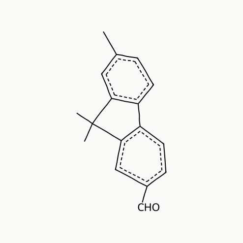 Cc1ccc2c(c1)C(C)(C)c1cc(C=O)ccc1-2